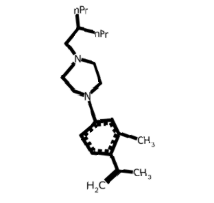 C=C(C)c1ccc(N2CCN(CC(CCC)CCC)CC2)cc1C